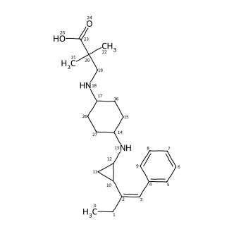 CCC(=Cc1ccccc1)C1CC1NC1CCC(NCC(C)(C)C(=O)O)CC1